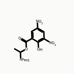 CCCCCC(C)OC(=O)c1cc([N+](=O)[O-])cc([N+](=O)[O-])c1O